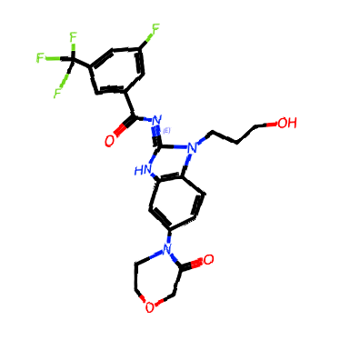 O=C(/N=c1\[nH]c2cc(N3CCOCC3=O)ccc2n1CCCO)c1cc(F)cc(C(F)(F)F)c1